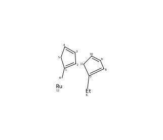 CC1=CC=CC1.CCC1=CC=CC1.[Ru]